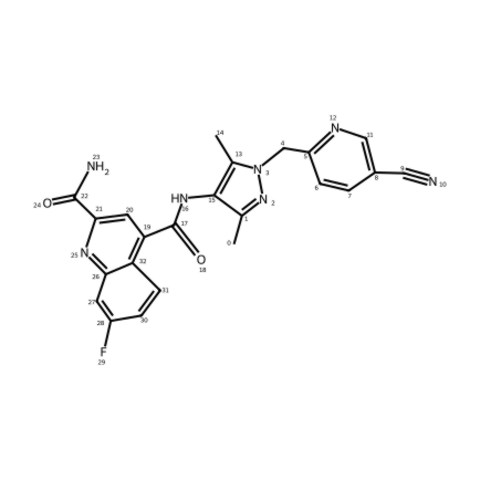 Cc1nn(Cc2ccc(C#N)cn2)c(C)c1NC(=O)c1cc(C(N)=O)nc2cc(F)ccc12